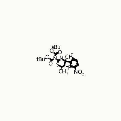 C[C@H]1SC(N(C(=O)OC(C)(C)C)C(=O)OC(C)(C)C)=N[C@](C)(c2cc([N+](=O)[O-])ccc2F)[C@H]1F